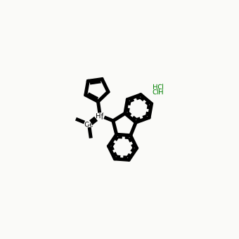 Cl.Cl.[CH3][Ge]([CH3])=[Hf]([C]1=CC=CC1)[CH]1c2ccccc2-c2ccccc21